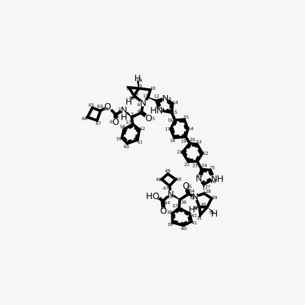 O=C(N[C@@H](C(=O)N1[C@@H]2C[C@@H]2C[C@H]1c1ncc(-c2ccc(-c3ccc(-c4c[nH]c([C@@H]5C[C@H]6C[C@H]6N5C(=O)[C@@H](c5ccccc5)N(C(=O)O)C5CCC5)n4)cc3)cc2)[nH]1)c1ccccc1)OC1CCC1